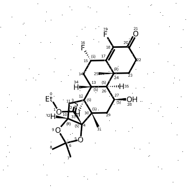 CCOC(=S)[C@@]12OC(C)(C)O[C@@H]1C[C@H]1[C@@H]3C[C@H](F)C4=C(F)C(=O)CC[C@]4(C)[C@H]3[C@@H](O)C[C@@]12C